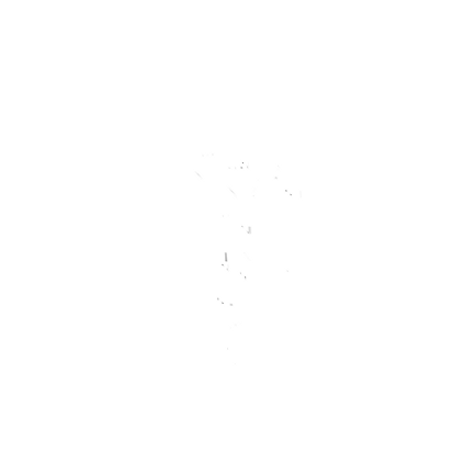 Cc1c(NC(=O)c2cc(C(N)=O)nc3cc(F)c(Cl)cc23)c(C(F)(F)F)nn1Cc1cc(C2CC2)on1